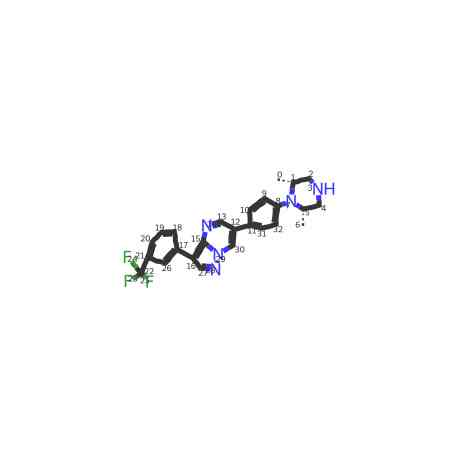 C[C@@H]1CNC[C@H](C)N1c1ccc(-c2cnc3c(-c4cccc(C(F)(F)F)c4)cnn3c2)cc1